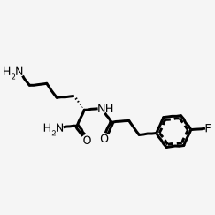 NCCCC[C@H](NC(=O)CCc1ccc(F)cc1)C(N)=O